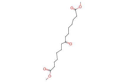 COC(=O)CCCCCCC(=O)CCCCCCC(=O)OC